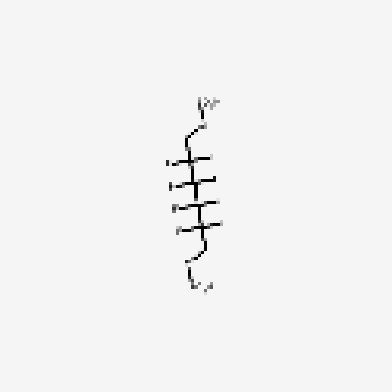 O=S(=O)(O)OCC(F)(F)C(F)(F)C(F)(F)C(F)(F)COS(=O)(=O)O